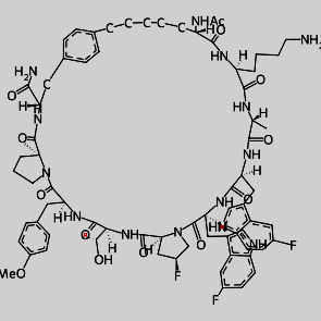 COc1ccc(C[C@@H]2NC(=O)[C@H]([C@@H](C)O)NC(=O)[C@@H]3C[C@H](F)CN3C(=O)[C@H](Cc3c[nH]c4ccc(F)cc34)NC(=O)[C@H](Cc3c[nH]c4ccc(F)cc34)NC(=O)[C@@H](C)NC(=O)[C@H](CCCCN)NC(=O)[C@@H](NC(C)=O)CCCCCc3ccc(cc3)C[C@@H](C(N)=O)NC(=O)[C@]3(C)CCCN3C2=O)cc1